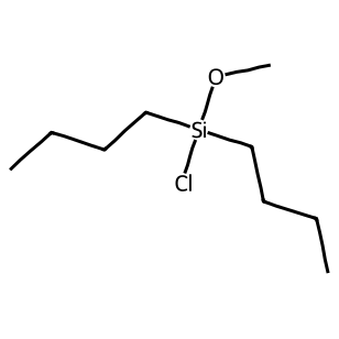 CCCC[Si](Cl)(CCCC)OC